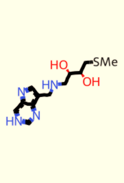 CSC[C@@H](O)[C@H](O)CNCc1cnc2c[nH]cnc1-2